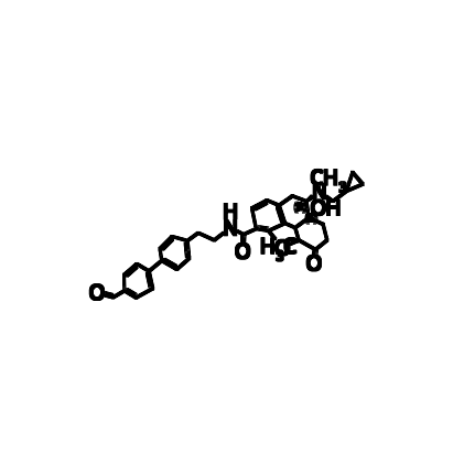 CN(CC1CC1)[C@@H]1Cc2ccc(C(=O)NCCc3ccc(-c4ccc(C=O)cc4)cc3)c3c2C2C(C)(O3)C(=O)CC[C@]21O